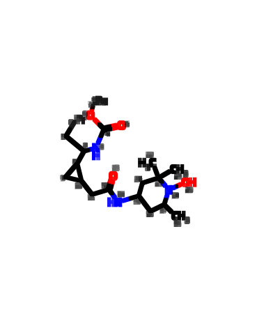 CC(C)CC(NC(=O)OC(C)(C)C)C1CC1CC(=O)NC1CC(C)N(O)C(C)(C)C1